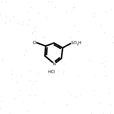 Cl.O=S(=O)(O)c1cncc(Cl)c1